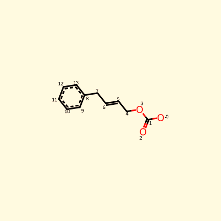 [O]C(=O)OC/C=C/Cc1ccccc1